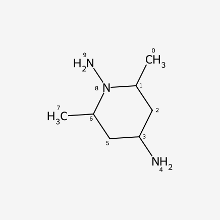 CC1CC(N)CC(C)N1N